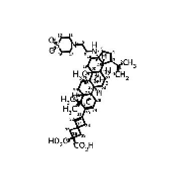 C=C(C)[C@@H]1CC[C@]2(NCCN3CCS(=O)(=O)CC3)CC[C@]3(C)[C@H](CC[C@@H]4[C@@]5(C)CC=C(C6=CC7(C6)CC(C(=O)O)(C(=O)O)C7)C(C)(C)[C@@H]5CC[C@]43C)[C@@H]12